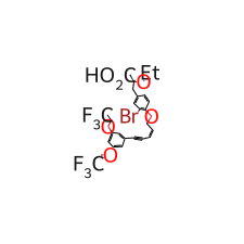 CCO[C@@H](Cc1ccc(OC/C=C\C#Cc2cc(OCC(F)(F)F)cc(OCC(F)(F)F)c2)c(Br)c1)C(=O)O